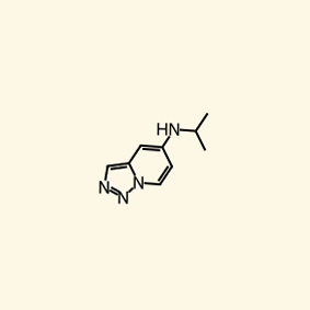 CC(C)Nc1ccn2nncc2c1